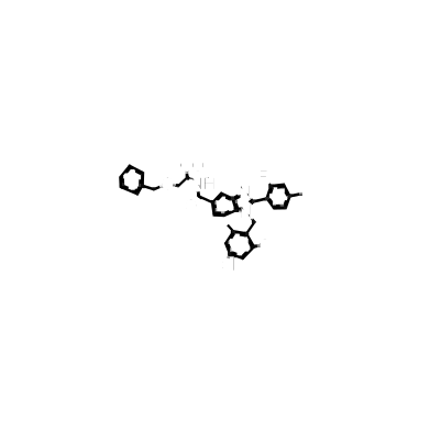 Cc1cc(Cl)cc(Cl)c1Cn1c(-c2ccc(F)cc2F)nc2cc(C(=O)NC(COCc3ccccc3)C(=O)O)ccc21